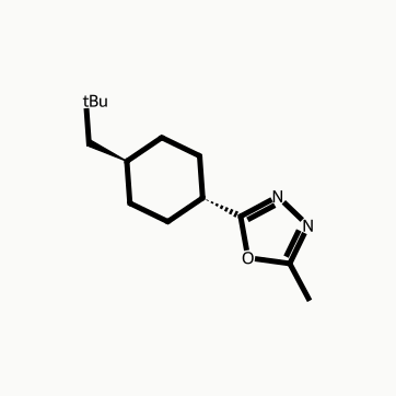 Cc1nnc([C@H]2CC[C@H](CC(C)(C)C)CC2)o1